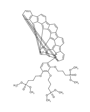 COP(=O)(CCCOc1ccc(C2N(C)CC34C5=c6ccc7c8ccc9c%10ccc%11c%12ccc%13c%14c(c%15c%16c3c6c7c3c8c9c6c%10c%11c(c%14%12)c%15c6c%163)C24C=%13C=C5)c(OCCCP(=O)(OC)OC)c1OCCCP(=O)(OC)OC)OC